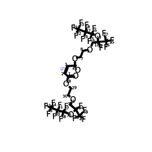 O=C(/C=C\C(=O)OCCOCC(F)(OC(F)(F)C(F)(F)C(F)(F)F)C(F)(F)F)OCCOCC(F)(OC(F)(F)C(F)(F)C(F)(F)F)C(F)(F)F